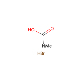 Br.CNC(=O)O